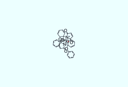 O=C1C=CC(=O)[N+]1(C1(Oc2ccccc2)C=CC=CC1)S(=O)(=O)[N+]1(C2(Oc3ccccc3)C=CC=CC2)C(=O)C=CC1=O